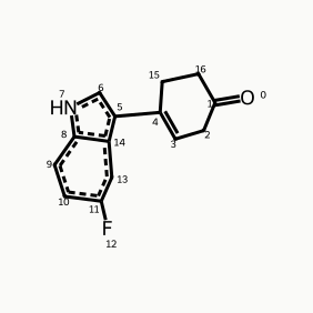 O=C1CC=C(c2c[nH]c3ccc(F)cc23)CC1